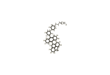 CCCCc1ccc(-c2cccc(-c3c4ccccc4c(-c4cc5cccc6sc7cccc4c7c56)c4ccccc34)c2)cc1